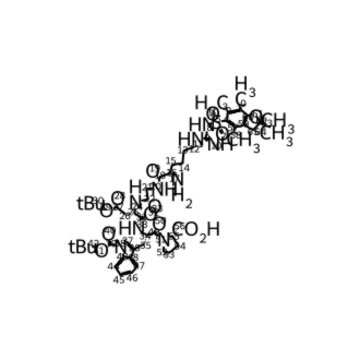 Cc1c(C)c(S(=O)(=O)NC(=N)NCCCC[C@H](N)C(=O)NCC(=O)N[C@@H](CC(=O)OC(C)(C)C)C(=O)N[C@@H](Cc2cn(C(=O)OC(C)(C)C)c3ccccc23)C(=O)N2CCC[C@H]2C(=O)O)c(C)c2c1OC(C)(C)C2